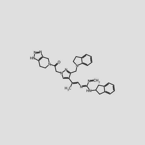 C=N/C(=N\C=C(/C)c1cn(CC(=O)N2CCc3[nH]nnc3C2)nc1CN1CCc2ccccc21)NC1Cc2ccccc2C1